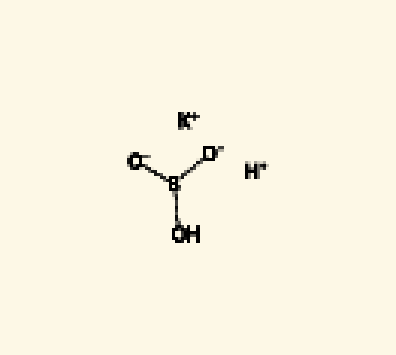 [H+].[K+].[O-]B([O-])O